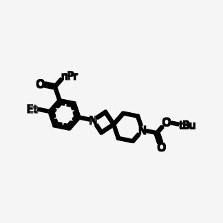 CCCC(=O)c1cc(N2CC3(CCN(C(=O)OC(C)(C)C)CC3)C2)ccc1CC